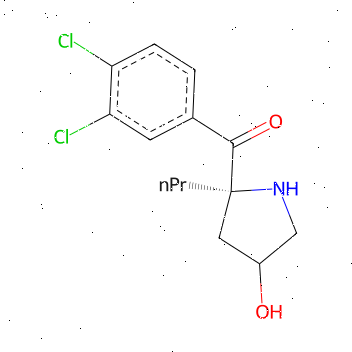 CCC[C@@]1(C(=O)c2ccc(Cl)c(Cl)c2)CC(O)CN1